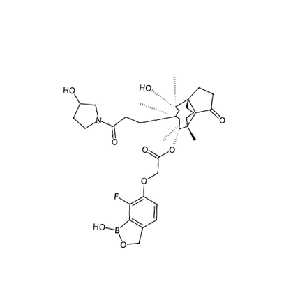 C[C@@H]1CC[C@@]23CCC(=O)C2[C@]1(C)[C@H](OC(=O)COc1ccc2c(c1F)B(O)OC2)C[C@@](C)(CCC(=O)N1CCC(O)C1)[C@@H](O)[C@@H]3C